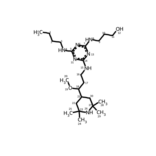 CCCCNc1nc(NCCCO)nc(NCCC(OC)C2CC(C)(C)NC(C)(C)C2)n1